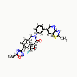 Cc1nc2ncc(-c3cccc(N(CC45CCC(c6noc(C(C)(C)C)n6)(CC4)CC5)C(=O)C45CC(F)(C4)C5)c3)cc2s1